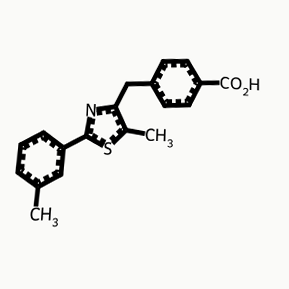 Cc1cccc(-c2nc(Cc3ccc(C(=O)O)cc3)c(C)s2)c1